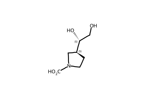 O=C(O)N1CC[C@H]([C@H](O)CO)C1